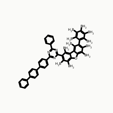 Bc1c(B)c(B)c(-c2c(B)c(B)c3oc4c(B)c(B)c(-c5nc(-c6ccccc6)nc(-c6ccc(-c7ccc(-c8ccccc8)cc7)cc6)n5)c(B)c4c3c2B)c(B)c1B